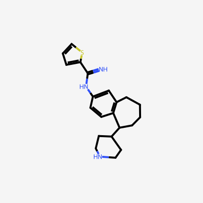 N=C(Nc1ccc2c(c1)CCCCC2C1CCNCC1)c1cccs1